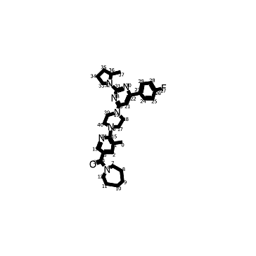 Cc1cc(C(=O)N2CCCCCC2)cnc1N1CCN(c2cc(-c3ccc(F)cc3)nc(N3CCCC3C)n2)CC1